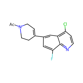 CC(=O)N1CC=C(c2cc(F)c3nccc(Cl)c3c2)CC1